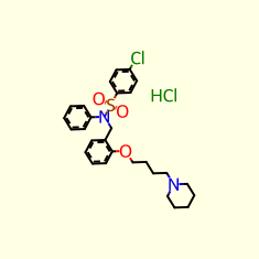 Cl.O=S(=O)(c1ccc(Cl)cc1)N(Cc1ccccc1OCCCCN1CCCCC1)c1ccccc1